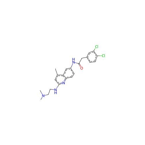 Cc1cc(NCCN(C)C)nc2ccc(NC(=O)Cc3ccc(Cl)c(Cl)c3)cc12